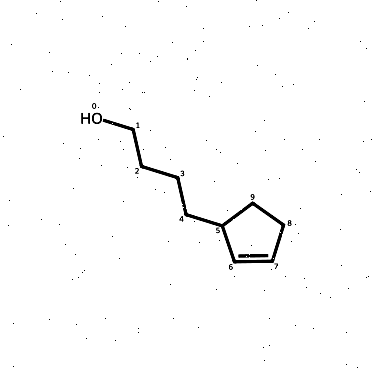 OCCCCC1C=CCC1